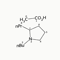 CC(=O)O.CCCCN1CCCC1CCC